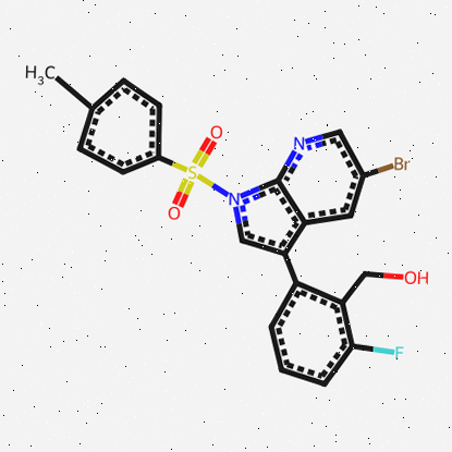 Cc1ccc(S(=O)(=O)n2cc(-c3cccc(F)c3CO)c3cc(Br)cnc32)cc1